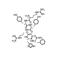 N=C(N)NCCC[C@H](NC(=O)[C@@H](Cc1ccc(O)cc1)NC(=O)[C@H](Cc1ccc(O)cc1)NC(=O)[C@@H](N)CCCNC(=N)N)C(=O)N[C@@H](Cc1c[nH]cn1)C(=O)N[C@@H](Cc1ccccc1)C(N)=O